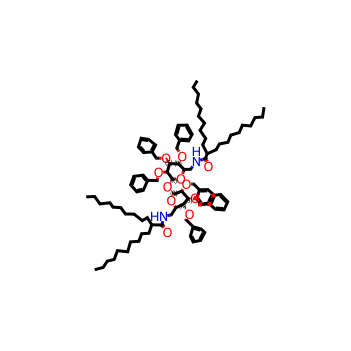 CCCCCCCCCCC(CCCCCCCCCC)C(=O)NCC1O[C@H](O[C@H]2OC(CNC(=O)C(CCCCCCCCCC)CCCCCCCCCC)[C@@H](OCc3ccccc3)[C@H](OCc3ccccc3)C2OCc2ccccc2)C(OCc2ccccc2)[C@@H](OCc2ccccc2)[C@@H]1OCc1ccccc1